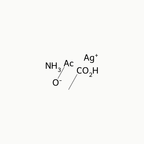 CC(=O)O.CC(=O)[O-].N.[Ag+]